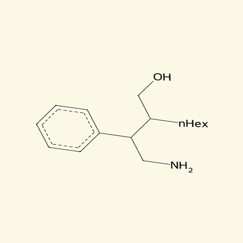 CCCCCCC(CO)C(CN)c1ccccc1